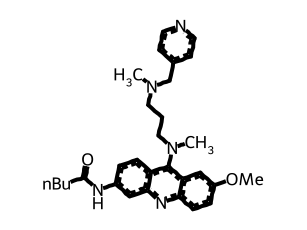 CCCCC(=O)Nc1ccc2c(N(C)CCCN(C)Cc3ccncc3)c3cc(OC)ccc3nc2c1